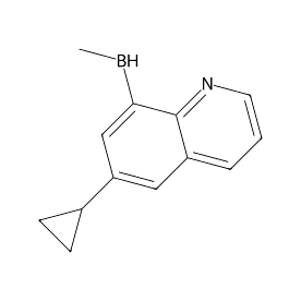 CBc1cc(C2CC2)cc2cccnc12